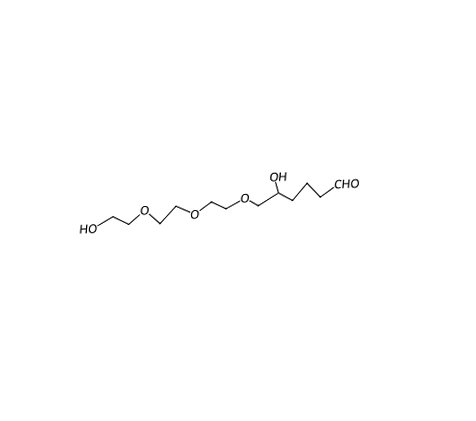 O=CCCCC(O)COCCOCCOCCO